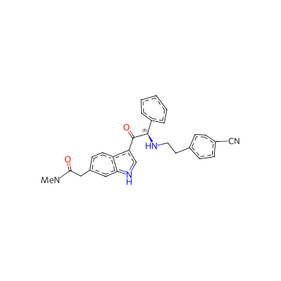 CNC(=O)Cc1ccc2c(C(=O)[C@H](NCCc3ccc(C#N)cc3)c3ccccc3)c[nH]c2c1